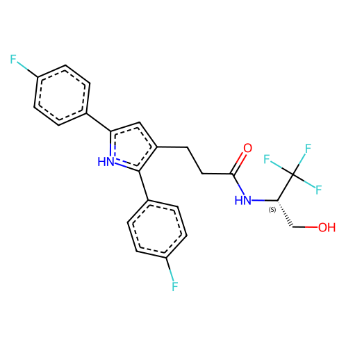 O=C(CCc1cc(-c2ccc(F)cc2)[nH]c1-c1ccc(F)cc1)N[C@@H](CO)C(F)(F)F